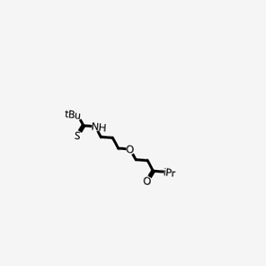 CC(C)C(=O)CCOCCCNC(=S)C(C)(C)C